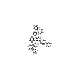 c1ccc(-c2ccc(-c3ccc4c(-c5ccc6c(c5)C5(CCCCC5)c5ccccc5-6)c5ccccc5c(-c5ccc6c(c5)C5(CCCCC5)c5ccccc5-6)c4c3)cn2)nc1